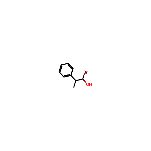 CC(c1ccccc1)C(O)Br